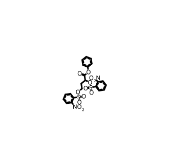 O=C(Oc1ccccc1)C(CCOS(=O)(=O)c1ccccc1[N+](=O)[O-])OS(=O)(=O)c1ccccc1[N+](=O)[O-]